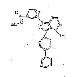 CC(C)(C)OC(=O)N1CC2CC1C(n1nc(-c3ccc(-c4ccccc4)cc3)c3c(N)ncnc31)C2